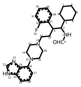 O=CNC(C1CCCCC1)C(CCN1CCN(c2cccc3[nH]cnc23)CC1)c1ccccc1F